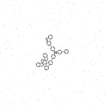 c1ccc(-c2ccc(N(c3ccc(-c4ccc5c(c4)C4(c6ccccc6-5)c5ccc6ccccc6c5Oc5c4ccc4ccccc54)cc3)c3ccc(-c4ccc5sc6ccccc6c5c4)cc3)cc2)cc1